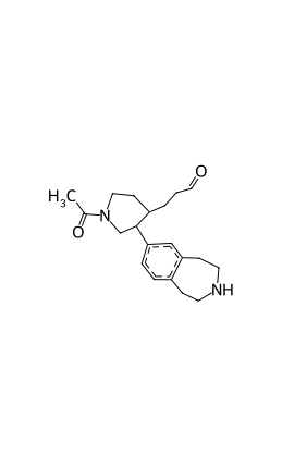 CC(=O)N1CCC(CCC=O)C(c2ccc3c(c2)CCNCC3)C1